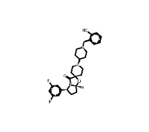 N#Cc1ccccc1CN1CCC(N2CCC3(CC2)O[C@@H]2CC[C@@H](c4cc(F)cc(F)c4)N2C3=O)CC1